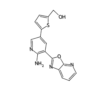 Nc1ncc(-c2ccc(CO)s2)cc1-c1nc2cccnc2o1